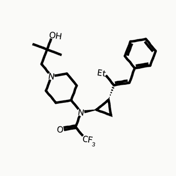 CC/C(=C\c1ccccc1)[C@@H]1C[C@H]1N(C(=O)C(F)(F)F)C1CCN(CC(C)(C)O)CC1